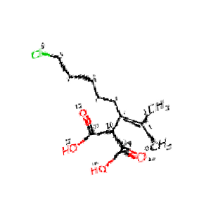 CC(C)=C(CCCCCCl)C(C(=O)O)C(=O)O